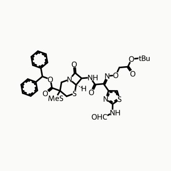 CSC1(C(=O)OC(c2ccccc2)c2ccccc2)CS[C@@H]2C(NC(=O)C(=NOCC(=O)OC(C)(C)C)c3csc(NC=O)n3)C(=O)N2C1